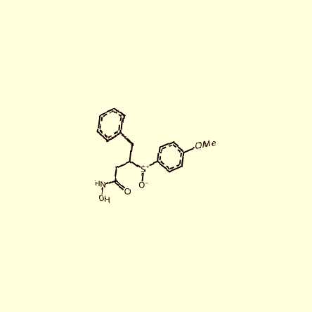 COc1ccc([S+]([O-])C(CC(=O)NO)Cc2ccccc2)cc1